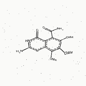 COc1c(OC)c(C(N)=O)c2c(=O)[nH]c(N)nc2c1OC